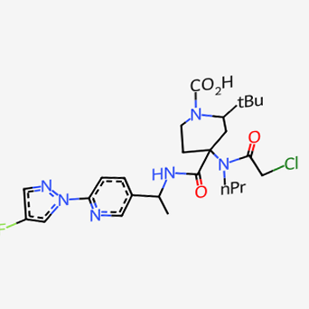 CCCN(C(=O)CCl)C1(C(=O)NC(C)c2ccc(-n3cc(F)cn3)nc2)CCN(C(=O)O)C(C(C)(C)C)C1